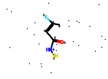 C/C(F)=C\C(=O)NS